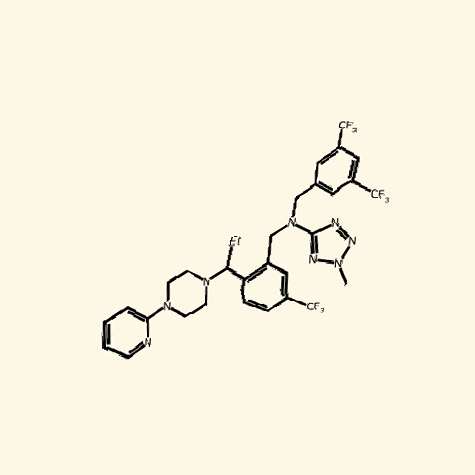 CCC(c1ccc(C(F)(F)F)cc1CN(Cc1cc(C(F)(F)F)cc(C(F)(F)F)c1)c1nnn(C)n1)N1CCN(c2ccccn2)CC1